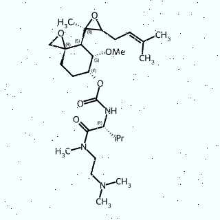 CO[C@@H]1[C@H](OC(=O)N[C@@H](C(=O)N(C)CCN(C)C)C(C)C)CC[C@]2(CO2)[C@H]1[C@@]1(C)OC1CC=C(C)C